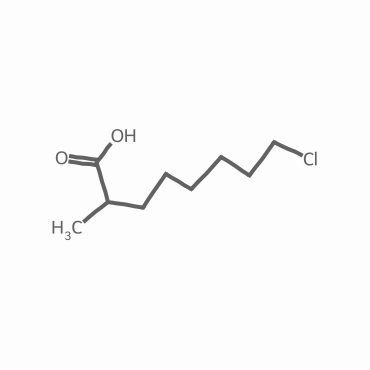 CC(CCCCCCCl)C(=O)O